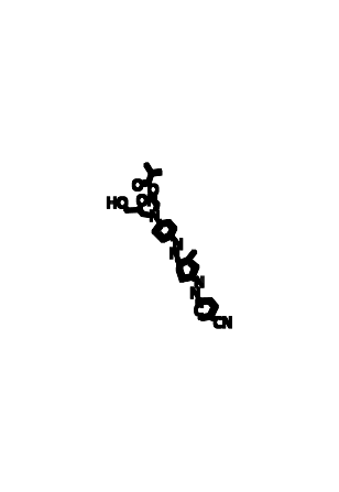 C=C(C)C(=O)OCCN(CC(O)CO)c1ccc(/N=N/c2ccc(/N=N/c3ccc(C#N)cc3)cc2C)cc1